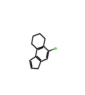 Brc1cc2c(c3c1CCCC3)C=CC2